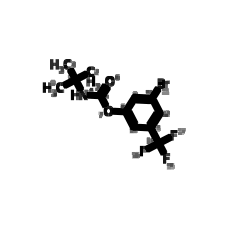 CC(C)(C)NC(=O)Oc1cc(Br)cc(C(F)(F)F)c1